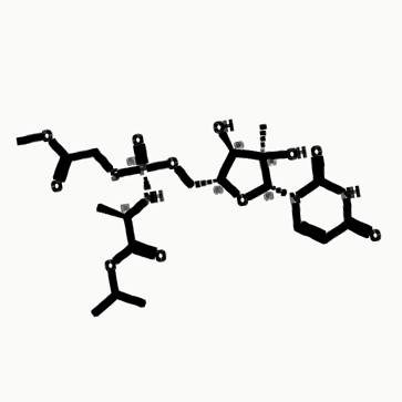 COC(=O)CS[P@](=O)(N[C@H](C)C(=O)OC(C)C)OC[C@H]1O[C@@H](n2ccc(=O)[nH]c2=O)[C@](C)(O)[C@@H]1O